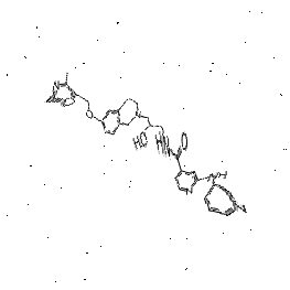 Cc1ncoc1COc1ccc2c(c1)CCN(CC(O)CNC(=O)c1ccnc(Nc3cccnc3)c1)C2